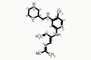 C=N/C(=C\N=C(/C)C#N)Nc1cc(NCC2CNCCO2)c(C(F)(F)F)cn1